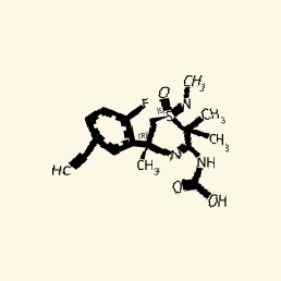 C#Cc1ccc(F)c([C@]2(C)C[S@@](=O)(=NC)C(C)(C)C(NC(=O)O)=N2)c1